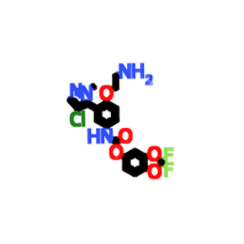 Cn1ncc(Cl)c1-c1cc(NC(=O)Oc2ccc3c(c2)OC(F)(F)O3)ccc1OCCN